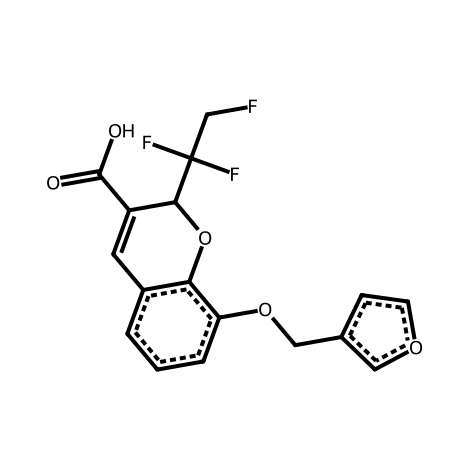 O=C(O)C1=Cc2cccc(OCc3ccoc3)c2OC1C(F)(F)CF